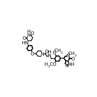 COc1cc(-c2cn(C)c(=O)c3[nH]ncc23)cc(OC)c1CNCC(=O)N1CCC(Oc2ccc(NC3CCC(=O)NC3=O)cc2)CC1